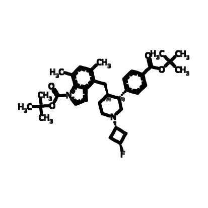 Cc1cc(C)c2c(ccn2C(=O)OC(C)(C)C)c1C[C@@H]1CCN([C@H]2C[C@H](F)C2)C[C@H]1c1ccc(C(=O)OC(C)(C)C)cc1